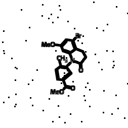 COC(=O)c1ccc(C)c(N2C(=O)CCc3c(Br)cc(OC)cc32)c1